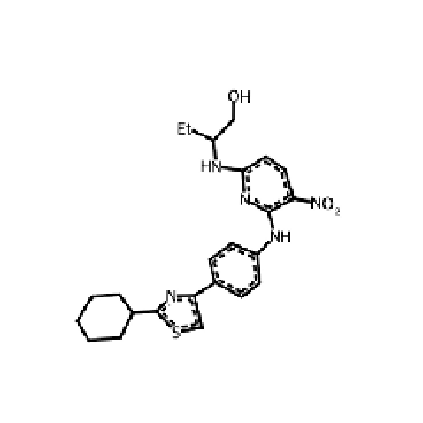 CCC(CO)Nc1ccc([N+](=O)[O-])c(Nc2ccc(-c3csc(C4CCCCC4)n3)cc2)n1